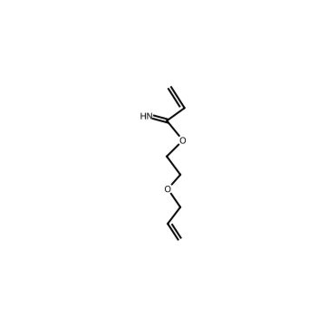 C=CCOCCOC(=N)C=C